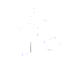 NCCC(c1nc(Cl)ncc1-c1cccs1)n1ccnc1